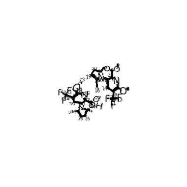 COC(=O)c1nc(OC)c(C(F)(F)F)cc1-n1c(C)ccc1C.COc1nc(C(=O)O)c(-n2c(C)ccc2C)cc1C(F)(F)F